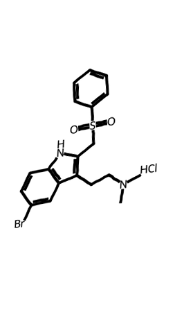 CN(C)CCc1c(CS(=O)(=O)c2ccccc2)[nH]c2ccc(Br)cc12.Cl